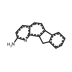 Nc1ccc2ccc3c(c2n1)Cc1ccccc1-3